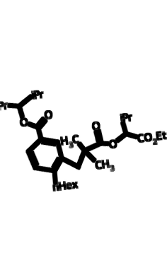 CCCCCCc1ccc(C(=O)OC(C(C)C)C(C)C)cc1CC(C)(C)C(=O)OC(C(=O)OCC)C(C)C